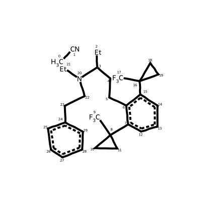 CC#N.CCC(CCc1c(C2(C(F)(F)F)CC2)cccc1C1(C(F)(F)F)CC1)N(CC)CCc1ccccc1